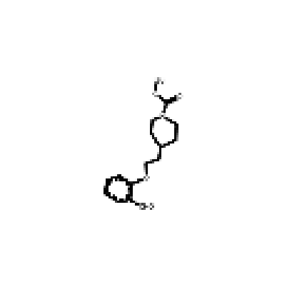 CC(C)(C)OC(=O)N1CCC(CCOc2ccccc2C=O)CC1